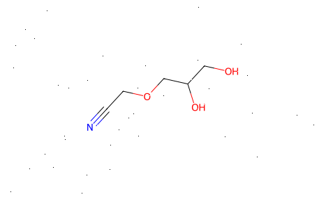 N#CCOCC(O)CO